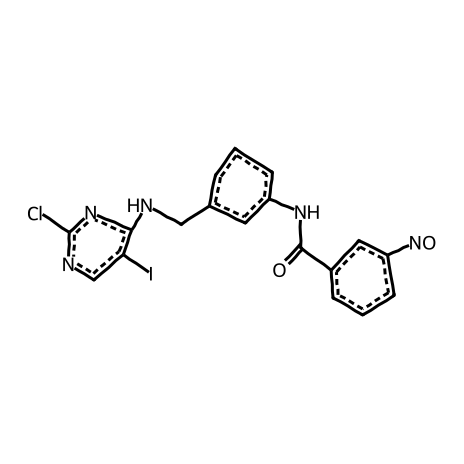 O=Nc1cccc(C(=O)Nc2cccc(CNc3nc(Cl)ncc3I)c2)c1